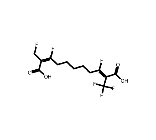 O=C(O)C(CF)=C(F)CCCCCC(F)=C(C(=O)O)C(F)(F)F